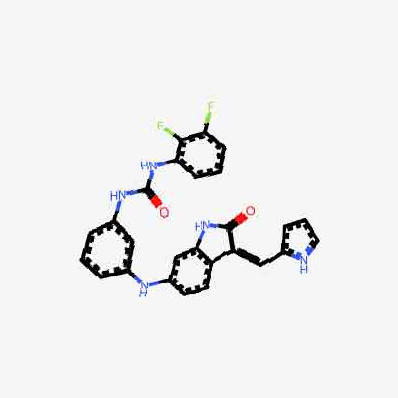 O=C(Nc1cccc(Nc2ccc3c(c2)NC(=O)/C3=C\c2ccc[nH]2)c1)Nc1cccc(F)c1F